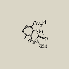 Cc1ccc(C(=O)O)c(NC(=O)OC(C)(C)C)c1C(F)(F)F